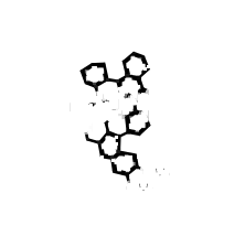 COc1cc2cc(CO)c(CO)c(-c3ccnc(-n4nc(-c5ccccc5N(C)C)c5ccccc5c4=O)c3)c2cc1OC